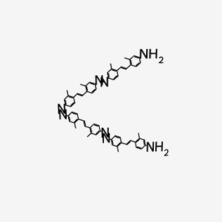 Cc1cc(N)ccc1C=Cc1ccc(N=Nc2ccc(C=Cc3ccc(/N=N\c4ccc(C=Cc5ccc(N=Nc6ccc(C=Cc7ccc(N)cc7C)c(C)c6)cc5C)c(C)c4)cc3C)c(C)c2)cc1C